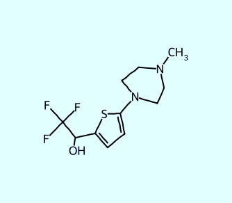 CN1CCN(c2ccc(C(O)C(F)(F)F)s2)CC1